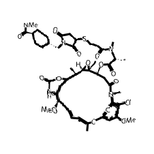 CNC(=O)[C@H]1CC[C@H](CN2C(=O)CC(SCCC(=O)N(C)[C@H](C)C(=O)O[C@H]3CC(=O)N(C)c4cc(cc(OC)c4Cl)C/C(C)=C/C=C/[C@@H](OC)[C@@]4(O)CC(OC(=O)N4)[C@@H](C)[C@@H]4O[C@]34C)C2=O)CC1